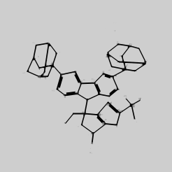 CCC1(C2c3ccc(C45CC6CC(CC(C6)C4)C5)cc3-c3cc(C45CC6CC(CC(C6)C4)C5)ccc32)C[CH]([Zr+2])C2=C1C=C(C(C)(C)C)C2.[Cl-].[Cl-]